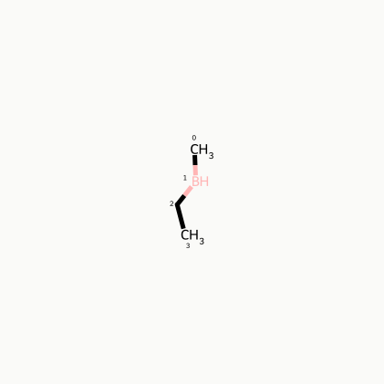 CBCC